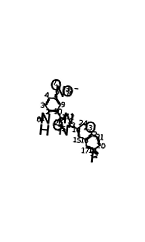 CNc1ccc([N+](=O)[O-])cc1-c1nc(C2=Cc3cc(F)ccc3OC2)no1